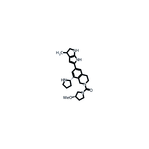 CO[C@@H]1CCN(C(=O)N2CCc3cc(-c4cc5c([nH]4)NCC5C)cc([C@@H]4CCCN4)c3C2)C1